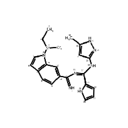 CC[S+]([O-])n1ccc2ccc(C(=N)/N=C(/Nc3cc(C)[nH]n3)c3ccc[nH]3)cc21